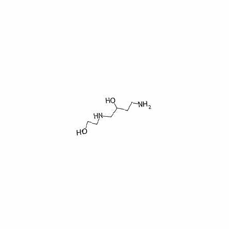 NCCC(O)CNCCO